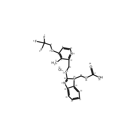 Cc1c(OCC(F)(F)F)ccnc1C[S@@+]([O-])c1nc2ccccc2n1COC(=O)O